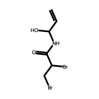 C=CC(O)NC(=O)C(Br)CBr